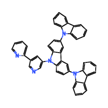 c1ccc(-c2cncc(-n3c4ccc(-n5c6ccccc6c6ccccc65)cc4c4cc(-n5c6ccccc6c6ccccc65)ccc43)c2)nc1